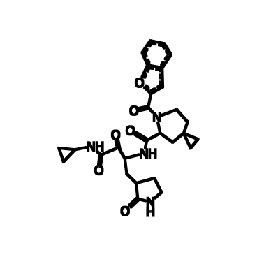 O=C(NC1CC1)C(=O)C(CC1CCNC1=O)NC(=O)C1CC2(CCN1C(=O)c1cc3ccccc3o1)CC2